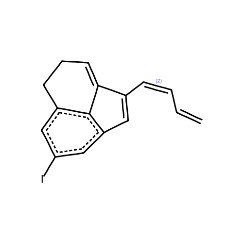 C=C/C=C\C1=Cc2cc(I)cc3c2C1=CCC3